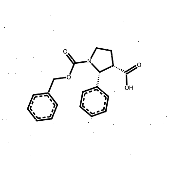 O=C(O)[C@H]1CCN(C(=O)OCc2ccccc2)[C@H]1c1ccccc1